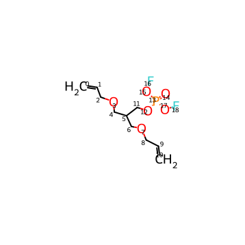 C=CCOCC(COCC=C)COP(=O)(OF)OF